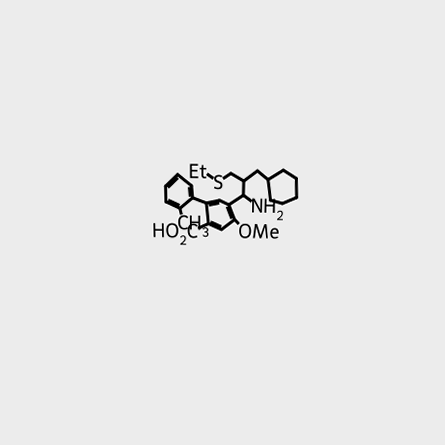 CCSCC(CC1CCCCC1)C(N)c1cc(-c2ccccc2C)c(C(=O)O)cc1OC